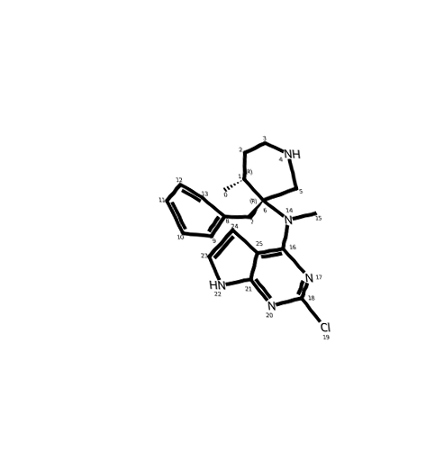 C[C@@H]1CCNC[C@]1(Cc1ccccc1)N(C)c1nc(Cl)nc2[nH]ccc12